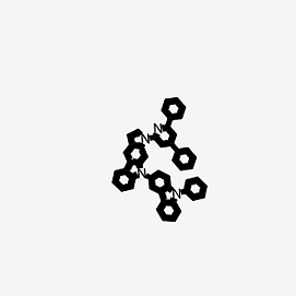 c1ccc(-c2cc(-c3ccccc3)nc(-n3ccc4cc5c6ccccc6n(-c6ccc7c(c6)c6ccccc6n7-c6ccccc6)c5cc43)c2)cc1